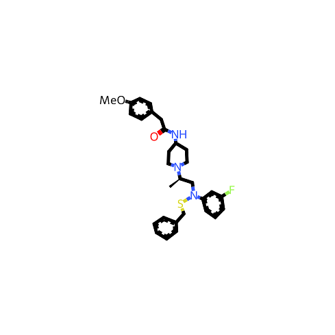 COc1ccc(CC(=O)NC2CCN([C@H](C)CN(SCc3ccccc3)c3cccc(F)c3)CC2)cc1